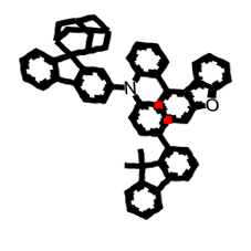 CC1(C)c2ccccc2-c2cccc(-c3ccc(N(c4ccc5c(c4)C4(c6ccccc6-5)C5CC6CC(C5)CC4C6)c4ccccc4-c4cccc5oc6ccccc6c45)cc3)c21